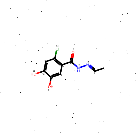 C/C=N/NC(=O)c1cc(O)c(O)cc1Cl